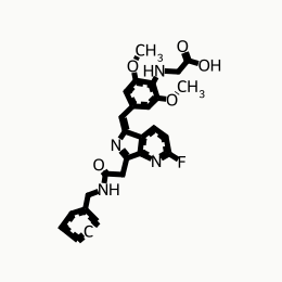 COc1cc(/C=C2/N=C(CC(=O)NCc3ccccc3)c3nc(F)ccc32)cc(OC)c1NCC(=O)O